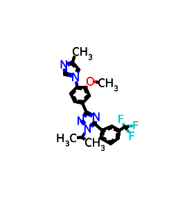 COc1cc(-c2nc(-c3cccc(C(F)(F)F)c3)n(C(C)C)n2)ccc1-n1cnc(C)c1